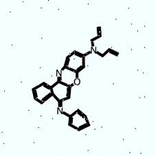 C=CCN(CC=C)c1ccc2nc3c4ccccc4c(=Nc4ccccc4)cc-3oc2c1